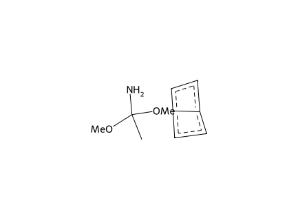 COC(C)(N)OC.c1cc2ccc1-2